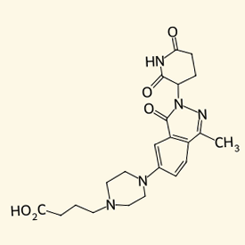 Cc1nn(C2CCC(=O)NC2=O)c(=O)c2cc(N3CCN(CCCC(=O)O)CC3)ccc12